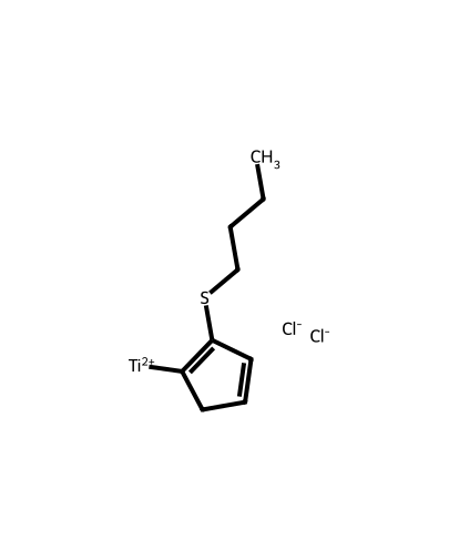 CCCCSC1=[C]([Ti+2])CC=C1.[Cl-].[Cl-]